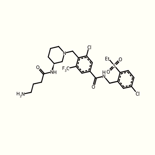 CCS(=O)(=O)c1ccc(Cl)cc1CNC(=O)c1cc(Cl)c(CN2CCC[C@H](NC(=O)CCCN)C2)c(C(F)(F)F)c1